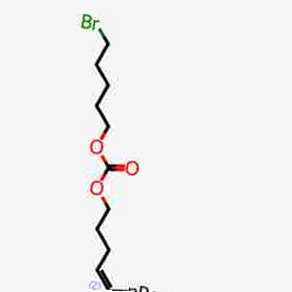 CCCCC/C=C\CCCOC(=O)OCCCCCBr